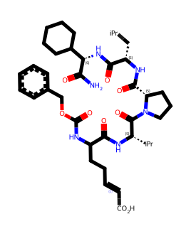 CC(C)C[C@H](NC(=O)[C@@H]1CCCN1C(=O)[C@@H](NC(=O)C(CC/C=C/C(=O)O)NC(=O)OCc1ccccc1)C(C)C)C(=O)N[C@H](C(N)=O)C1CCCCC1